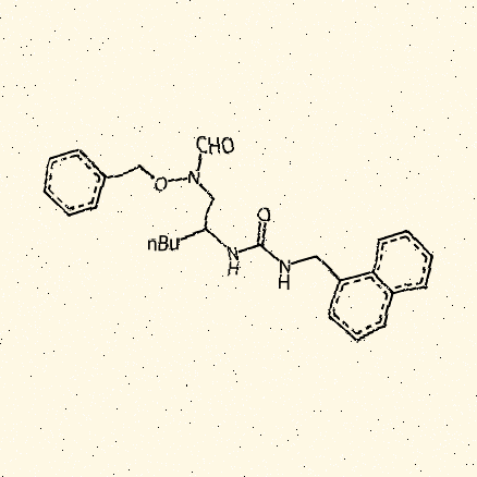 CCCCC(CN(C=O)OCc1ccccc1)NC(=O)NCc1cccc2ccccc12